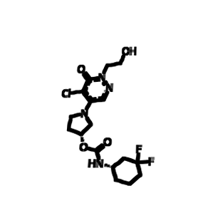 O=C(N[C@H]1CCCC(F)(F)C1)O[C@@H]1CCN(c2cnn(CCO)c(=O)c2Cl)C1